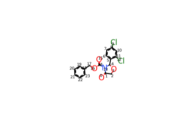 O=C1COC(c2ccc(Cl)cc2Cl)N1C(=O)OCc1ccccc1